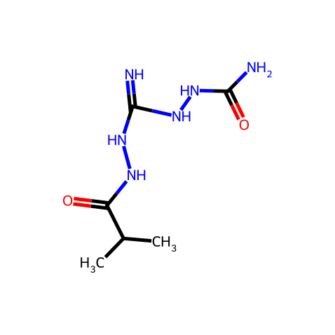 CC(C)C(=O)NNC(=N)NNC(N)=O